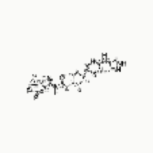 Cc1n[nH]cc1Nc1ncc(-c2ccc(CC(=O)Nc3cc(C4(C(F)(F)F)CC4)on3)c(F)c2)cn1